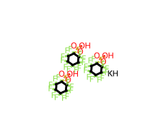 O=S(=O)(O)C1(F)C(F)(F)C(F)(F)C(F)(F)C(F)(F)C1(F)F.O=S(=O)(O)C1(F)C(F)(F)C(F)(F)C(F)(F)C(F)(F)C1(F)F.O=S(=O)(O)C1(F)C(F)(F)C(F)(F)C(F)(F)C(F)(F)C1(F)F.[KH]